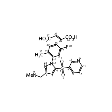 CNCc1cc(S(=O)(=O)c2cccnc2)n(-c2cc(F)ccc2C)n1.O=C(O)C=CC(=O)O